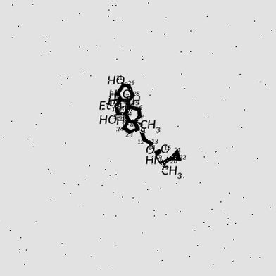 CC[C@H]1[C@@H](O)[C@@H]2[C@H](CC[C@]3(C)[C@@H](CCCOC(=O)N[C@@H](C)C4CC4)CC[C@@H]23)[C@@]2(C)CC[C@@H](O)C[C@@H]12